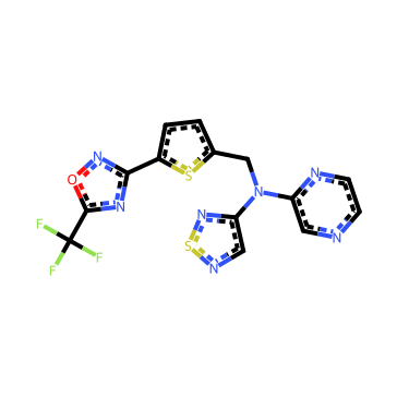 FC(F)(F)c1nc(-c2ccc(CN(c3cnccn3)c3cnsn3)s2)no1